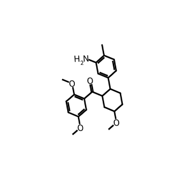 COc1ccc(OC)c(C(=O)C2CC(OC)CCC2c2ccc(C)c(N)c2)c1